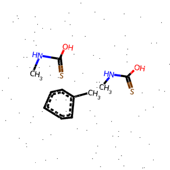 CNC(O)=S.CNC(O)=S.Cc1ccccc1